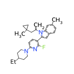 C=C(CC1(C)CC1)n1c(-c2ccc(N3CCC(CC)CC3)nc2F)cc2ccc(C)cc21